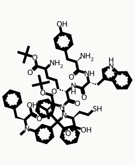 CC(C)[C@@H](C(=O)OC(C)(C)C)N(C(=O)[C@H](CCCC(N)C(=O)OC(C)(C)C)NC(=O)[C@@H](Cc1c[nH]c2ccccc12)NC(=O)[C@@H](N)Cc1ccc(O)cc1)N([C@@H](CCS)C(=O)O)C(c1ccccc1)(c1ccccc1)c1cccc(N(C)[C@@H](Cc2ccccc2)C(=O)O)c1